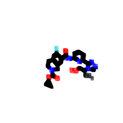 C[C@H](CO)n1cnnc1-c1cccc(NC(=O)c2cc3c(cc2F)CCN(C(=O)OC2CC2)C3)n1